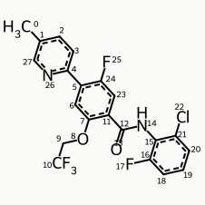 Cc1ccc(-c2cc(OCC(F)(F)F)c(C(=O)Nc3c(F)cccc3Cl)cc2F)nc1